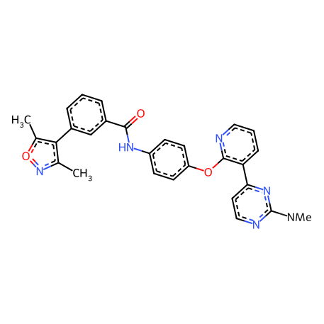 CNc1nccc(-c2cccnc2Oc2ccc(NC(=O)c3cccc(-c4c(C)noc4C)c3)cc2)n1